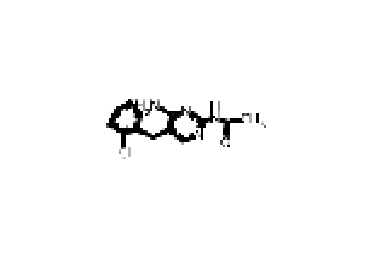 CC(=O)Nc1ncc(Cc2ccccc2Cl)c(N)n1